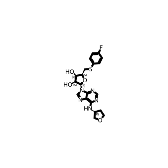 O[C@@H]1[C@H](O)[C@H](n2cnc3c(N[C@@H]4CCOC4)ncnc32)O[C@@H]1CSc1ccc(F)cc1